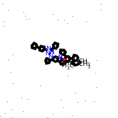 CC1(C)CCC(C)(C)C2=C1CCC=C2c1cccc(-c2ccccc2N2C3=Cc4c(c5ccccc5n4-c4nc(-c5ccccc5)nc(-c5ccc(-c6ccccc6)cc5)n4)CC3c3ccccc32)c1